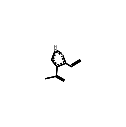 C=Cc1n[nH]cc1C(=C)C